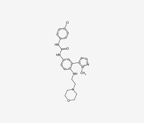 Cn1nccc1-c1cc(NC(=O)Nc2ccc(Cl)cc2)ccc1NCCN1CCOCC1